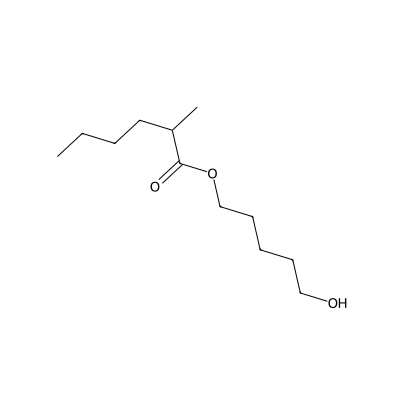 CCCCC(C)C(=O)OCCCCCO